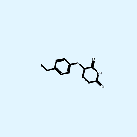 CCc1ccc(SC2CCC(=O)NC2=O)cc1